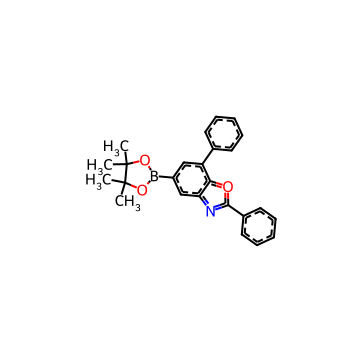 CC1(C)OB(c2cc(-c3ccccc3)c3oc(-c4ccccc4)nc3c2)OC1(C)C